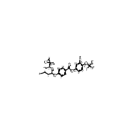 CCCC(Oc1ccc(C(=O)Oc2ccc(OC(F)(F)F)c(F)c2)cc1)OC(C)C1(C)CO1